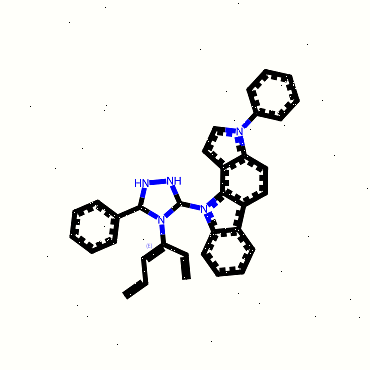 C=C/C=C(\C=C)N1C(c2ccccc2)NNC1n1c2ccccc2c2ccc3c(ccn3-c3ccccc3)c21